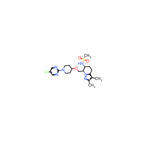 Cc1nn2c(c1C)CCC(NS(C)(=O)=O)C2COC1CCN(c2ncc(F)cn2)CC1